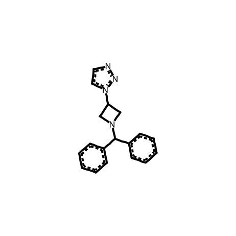 c1ccc(C(c2ccccc2)N2CC(n3ccnn3)C2)cc1